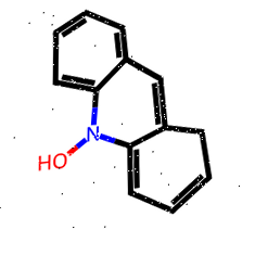 ON1C2=CC=CCC2=Cc2ccccc21